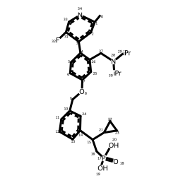 Cc1cc(-c2ccc(OCc3cccc(C(CP(=O)(O)O)C4CC4)c3)cc2CN(C(C)C)C(C)C)c(F)cn1